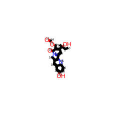 CCC(C)(O)c1cc2n(c(=O)c1COC=O)Cc1cc3cc(O)ccc3nc1-2